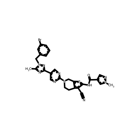 Cc1nc(-c2cnc(N3CCc4c(sc(NC(=O)c5cnn(C)c5)c4C#N)C3)nc2)nn1Cc1cccc(Br)c1